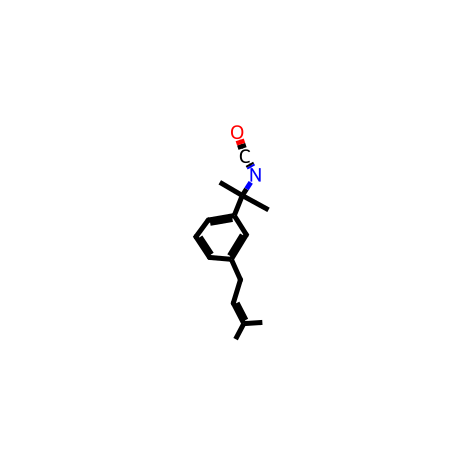 CC(C)=CCc1cccc(C(C)(C)N=C=O)c1